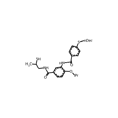 CCCCCCCCCCSc1ccc(C(=O)Nc2cc(C(=O)NCC(C)S)ccc2OC(C)C)cc1